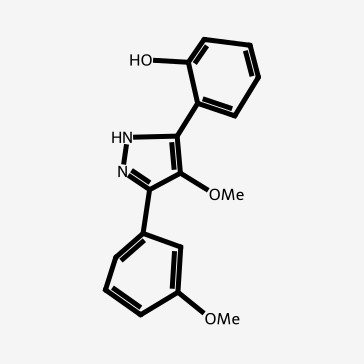 COc1cccc(-c2n[nH]c(-c3ccccc3O)c2OC)c1